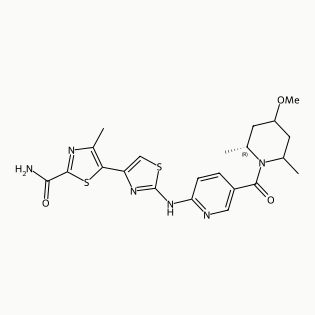 COC1CC(C)N(C(=O)c2ccc(Nc3nc(-c4sc(C(N)=O)nc4C)cs3)nc2)[C@H](C)C1